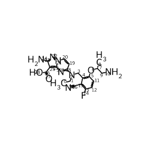 CCN(Cc1c(O[C@@H](C)CN)ccc(F)c1C#N)c1ccn2nc(N)c(C(=O)O)c2n1